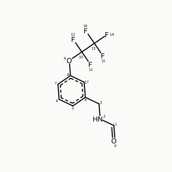 O=[C]NCc1cccc(OC(F)(F)C(F)(F)F)c1